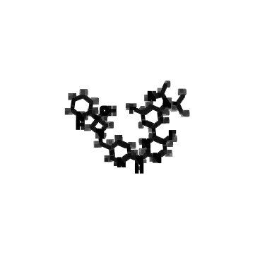 Cc1nc2c(F)cc(-c3nc(Nc4ccc(CN5CC(O)([C@@H]6CCCCN6)C5)cn4)ncc3F)cc2n1C(C)C